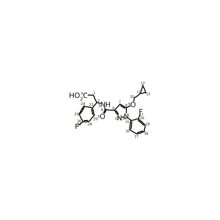 O=C(O)CC(NC(=O)c1cc(OCC2CC2)n(-c2ccccc2F)n1)c1ccc(F)cc1